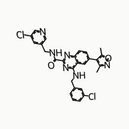 Cc1noc(C)c1-c1ccc2nc(C(=O)NCc3cncc(Cl)c3)nc(NCc3cccc(Cl)c3)c2c1